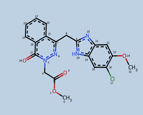 COC(=O)Cn1nc(Cc2nc3cc(OC)c(Cl)cc3[nH]2)c2ccccc2c1=O